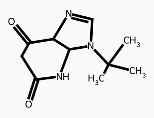 CC(C)(C)N1C=NC2C(=O)CC(=O)NC21